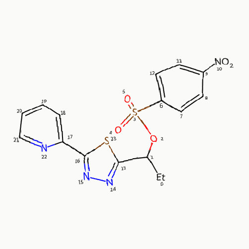 CCC(OS(=O)(=O)c1ccc([N+](=O)[O-])cc1)c1nnc(-c2ccccn2)s1